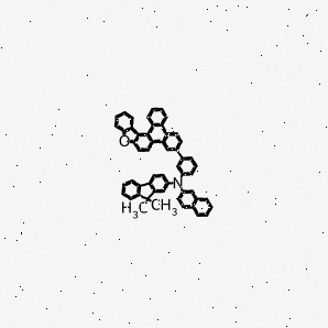 CC1(C)c2ccccc2-c2ccc(N(c3cccc(-c4ccc5c6ccccc6c6c(ccc7oc8ccccc8c76)c5c4)c3)c3ccc4ccccc4c3)cc21